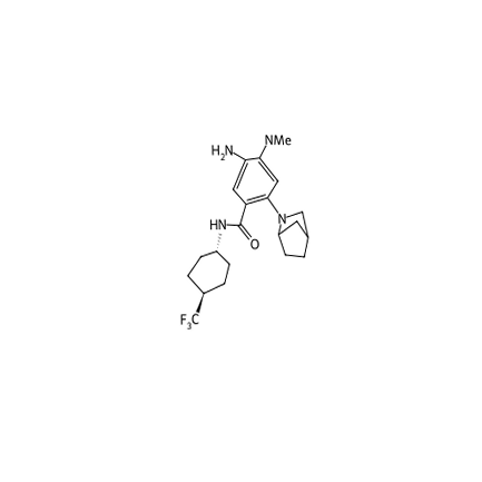 CNc1cc(N2CC3CCC2C3)c(C(=O)N[C@H]2CC[C@H](C(F)(F)F)CC2)cc1N